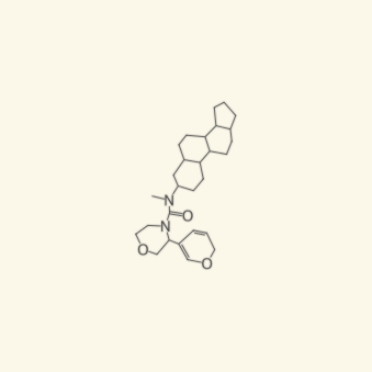 CN(C(=O)N1CCOCC1C1=COCC=C1)C1CCC2C(CCC3C4CCCC4CCC23)C1